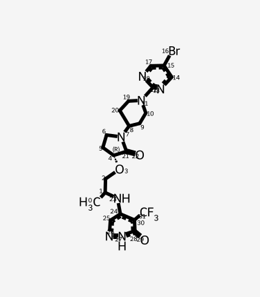 CC(CO[C@@H]1CCN(C2CCN(c3ncc(Br)cn3)CC2)C1=O)Nc1cn[nH]c(=O)c1C(F)(F)F